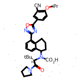 CC(C)Oc1ccc(-c2nc(-c3cccc4c3CCCC4N(C(=O)O)[C@H](C(=O)N3CCCC3)C(C)(C)C)no2)cc1C#N